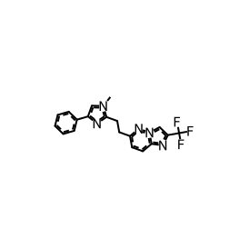 Cn1cc(-c2ccccc2)nc1CCc1ccc2nc(C(F)(F)F)cn2n1